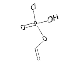 C=COP(=O)(O)Cl